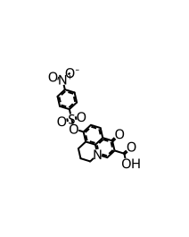 O=C(O)c1cn2c3c(c(OS(=O)(=O)c4ccc([N+](=O)[O-])cc4)ccc3c1=O)CCC2